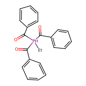 CC[PH](C(=O)c1ccccc1)(C(=O)c1ccccc1)C(=O)c1ccccc1